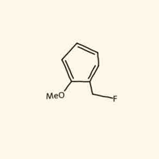 COc1ccccc1CF